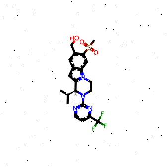 CC(C)[C@H]1c2cc3cc(CO)c(S(C)(=O)=O)cc3n2CCN1c1nccc(C(F)(F)F)n1